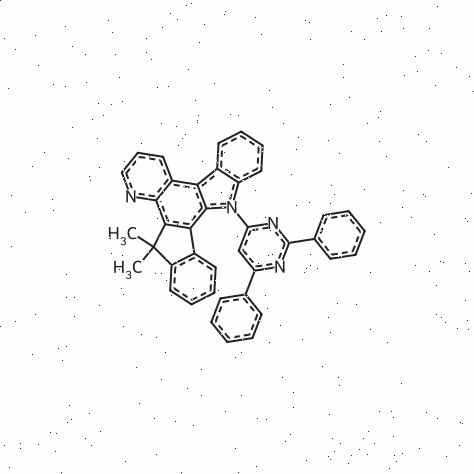 CC1(C)c2ccccc2-c2c1c1ncccc1c1c3ccccc3n(-c3cc(-c4ccccc4)nc(-c4ccccc4)n3)c21